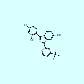 Oc1ccc(-c2nn(-c3cccc(C(F)(F)F)c3)c3cc(O)ccc23)c(O)c1